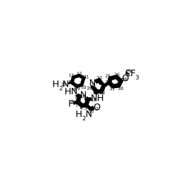 NC(=O)c1cc(F)c(NC2CCCC[C@@H]2N)nc1Nc1cncc(-c2ccc(OC(F)(F)F)cc2)c1